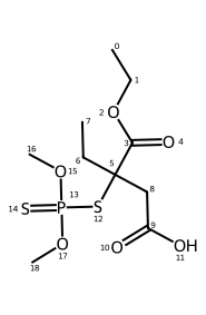 CCOC(=O)C(CC)(CC(=O)O)SP(=S)(OC)OC